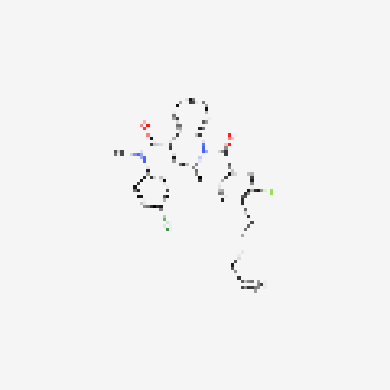 CCN(C(=O)[C@H]1C[C@H](C)N(C(=O)c2ccc(CCCCC(=O)O)c(F)c2)c2ccccc21)c1ccc(Cl)cc1